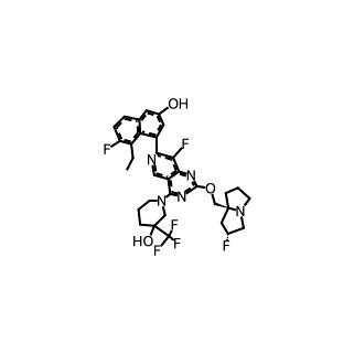 CCc1c(F)ccc2cc(O)cc(-c3ncc4c(N5CCCC(O)(C(F)(F)F)C5)nc(OC[C@@]56CCCN5C[C@H](F)C6)nc4c3F)c12